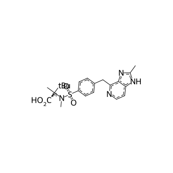 Cc1nc2c(Cc3ccc(S(=O)(=O)N(C)[C@@](C)(C(=O)O)C(C)(C)C)cc3)nccc2[nH]1